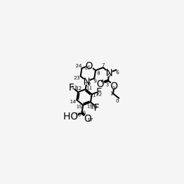 CCOC(=O)N(C)CC1CN(c2c(F)cc(C(=O)O)c(F)c2F)CCO1